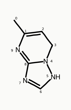 CC1=C[CH]N2NC=NC2=N1